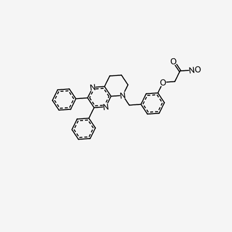 O=NC(=O)COc1cccc(CN2CCCc3nc(-c4ccccc4)c(-c4ccccc4)nc32)c1